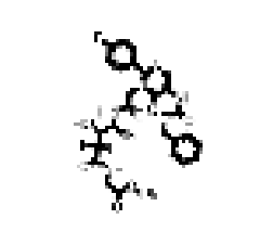 CC(C)C(NC(=O)Cn1c(-c2ccc(F)cc2)ncc(NC(=O)OCc2ccccc2)c1=O)C(O)C(F)(F)C(=O)NCC(=O)OC(C)(C)C